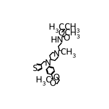 C[C@H](CCNC(=O)OC(C)(C)C)N1CCC(N(Cc2ccsc2)c2ccc(C3(C)OCCO3)cc2)CC1